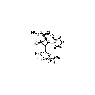 C[C@@H](O[Si](C)(C)C(C)(C)C)[C@H]1C(=O)N(C(=O)C(=O)O)[C@@H]1[C@H]1CSCCC1=O